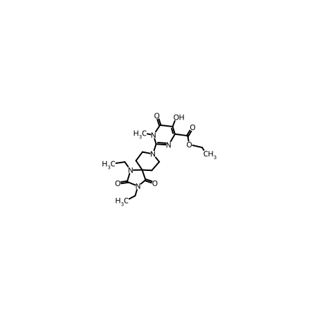 CCOC(=O)c1nc(N2CCC3(CC2)C(=O)N(CC)C(=O)N3CC)n(C)c(=O)c1O